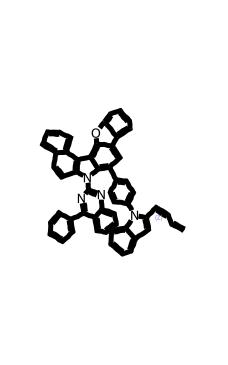 C=C/C=C\c1cc2ccccc2n1-c1ccc(-c2cc3c4ccccc4oc3c3c4c5ccccc5ccc4n(-c4nc(-c5ccccc5)c5ccccc5n4)c23)cc1